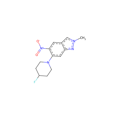 Cn1cc2cc([N+](=O)[O-])c(N3CCC(F)CC3)cc2n1